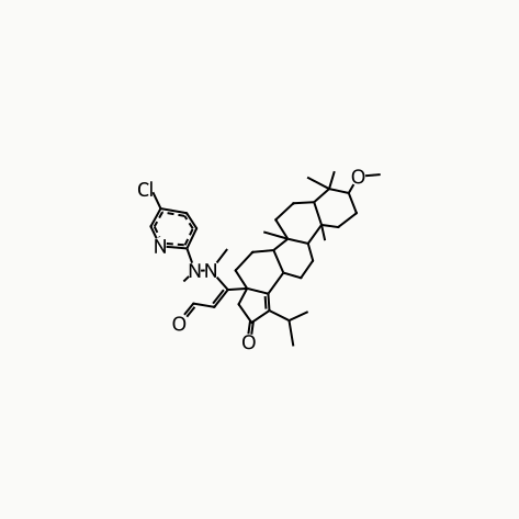 COC1CCC2(C)C(CCC3(C)C4CCC5(/C(=C/C=O)N(C)N(C)c6ccc(Cl)cn6)CC(=O)C(C(C)C)=C5C4CCC32)C1(C)C